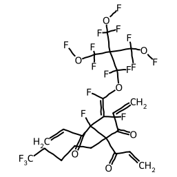 C=CC(=O)C(F)(C(F)=C(F)OC(F)(F)C(C(F)(F)OF)(C(F)(F)OF)C(F)(F)OF)C(CCCCC(F)(F)F)(C(=O)C=C)C(=O)C=C